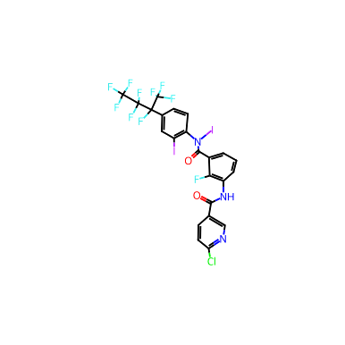 O=C(Nc1cccc(C(=O)N(I)c2ccc(C(F)(C(F)(F)F)C(F)(F)C(F)(F)F)cc2I)c1F)c1ccc(Cl)nc1